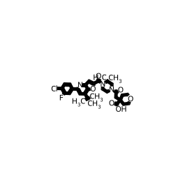 CC(C)(C)c1cc(-c2ccc(Cl)c(F)c2)nc2cc(C(=O)N3CCN(C(=O)CC4(C(=O)O)CCOCC4)CC3(C)C)oc12